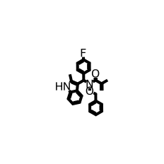 C=C(C)C(=O)N(OCc1ccccc1)C(c1ccc(F)cc1)c1c(C)[nH]c2ccccc12